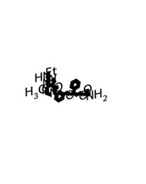 CCNc1ncc2c(n1)N(C)CCN(c1cccc(COC(CCOC(N)=O)c3ccccc3)c1)C2=O